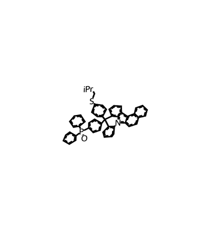 CC(C)CSc1ccc(C2(c3ccc(P(=O)(c4ccccc4)c4ccccc4)cc3)c3ccccc3-n3c4ccc5ccccc5c4c4cccc2c43)cc1